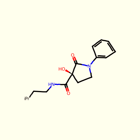 CC(C)CCNC(=O)[C@@]1(O)CCN(c2ccccc2)C1=O